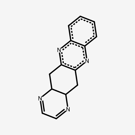 C1=NC2Cc3nc4ccccc4nc3CC2N=C1